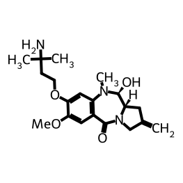 C=C1C[C@H]2[C@H](O)N(C)c3cc(OCCC(C)(C)N)c(OC)cc3C(=O)N2C1